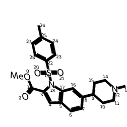 COC(=O)c1cc2ccc(C3CCN(C)CC3)cc2n1S(=O)(=O)c1ccc(C)cc1